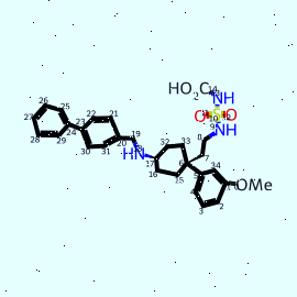 COc1cccc([C@]2(CCNS(=O)(=O)NC(=O)O)CC[C@@H](NCc3ccc(-c4ccccc4)cc3)CC2)c1